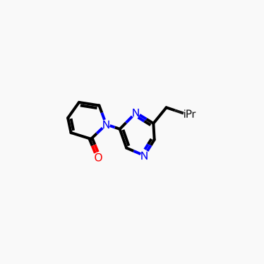 CC(C)Cc1cncc(-n2ccccc2=O)n1